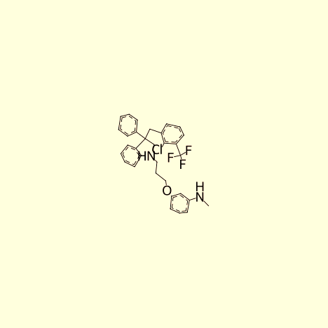 CNc1cccc(OCCCNCC(Cc2cccc(C(F)(F)F)c2Cl)(c2ccccc2)c2ccccc2)c1